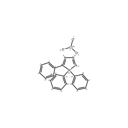 [O-][Cl+2]([O-])[O-].c1ccc(C2=NN=N[N+]2(c2ccccc2)c2ccccc2)cc1